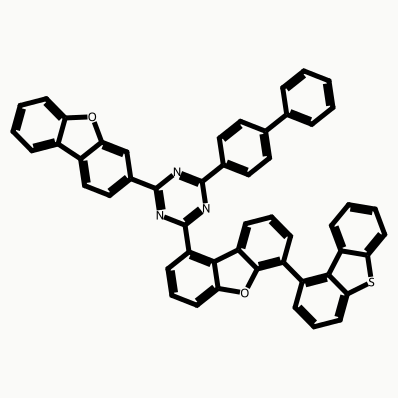 c1ccc(-c2ccc(-c3nc(-c4ccc5c(c4)oc4ccccc45)nc(-c4cccc5oc6c(-c7cccc8sc9ccccc9c78)cccc6c45)n3)cc2)cc1